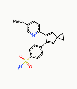 COc1ccc(C2=CC3(C=C2c2ccc(S(N)(=O)=O)cc2)CC3)nc1